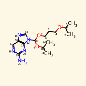 CC(C)OCCCOC(OC(C)C)n1cnc2cnc(N)nc21